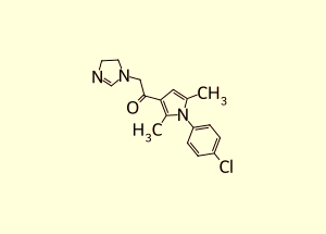 Cc1cc(C(=O)CN2C=NCC2)c(C)n1-c1ccc(Cl)cc1